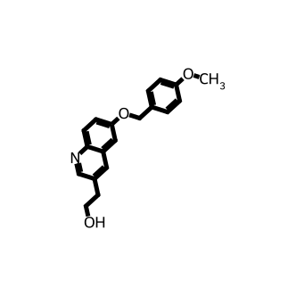 COc1ccc(COc2ccc3ncc(CCO)cc3c2)cc1